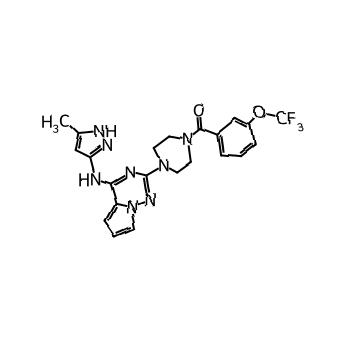 Cc1cc(Nc2nc(N3CCN(C(=O)c4cccc(OC(F)(F)F)c4)CC3)nn3cccc23)n[nH]1